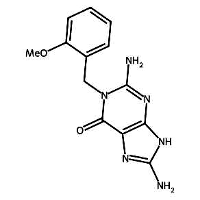 COc1ccccc1Cn1c(N)nc2[nH]c(N)nc2c1=O